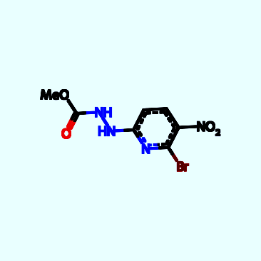 COC(=O)NNc1ccc([N+](=O)[O-])c(Br)n1